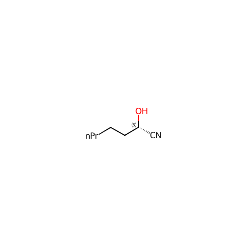 CCCCC[C@H](O)C#N